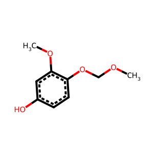 COCOc1ccc(O)cc1OC